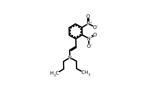 CCCN(C=Cc1cccc([N+](=O)[O-])c1[N+](=O)[O-])CCC